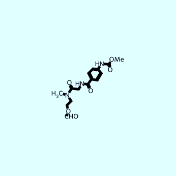 COC(=O)Nc1ccc(C(=O)NCC(=O)N(C)CCOC=O)cc1